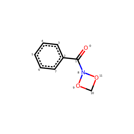 O=C(c1ccccc1)N1OCO1